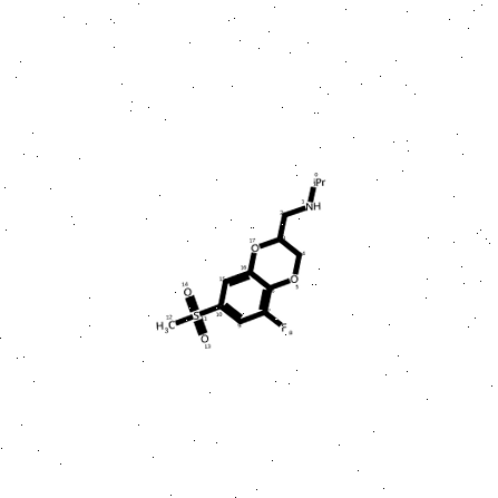 CC(C)NCC1COc2c(F)cc(S(C)(=O)=O)cc2O1